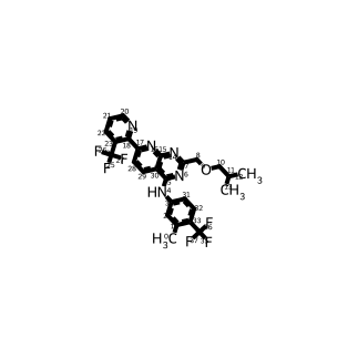 Cc1cc(Nc2nc(COCC(C)C)nc3nc(-c4ncccc4C(F)(F)F)ccc23)ccc1C(F)(F)F